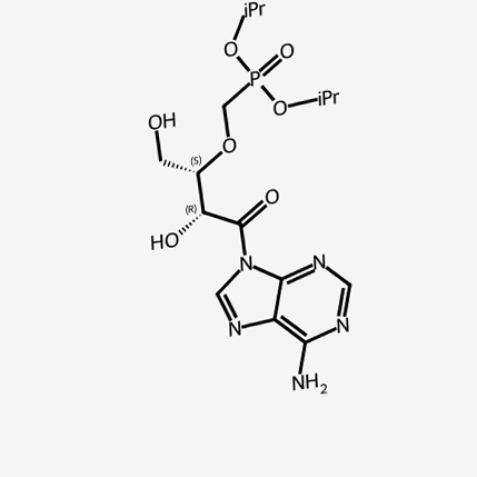 CC(C)OP(=O)(CO[C@@H](CO)[C@@H](O)C(=O)n1cnc2c(N)ncnc21)OC(C)C